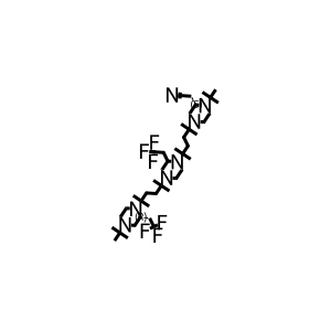 CC(C)(C)N1CCN(C(C)(C)CCC(C)(C)N2CCN(C(C)(C)CCC(C)(C)N3CCN(C(C)(C)C)[C@@H](CC#N)C3)C(CC(F)(F)F)C2)[C@H](CC(F)(F)F)C1